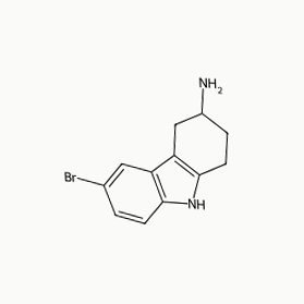 NC1CCc2[nH]c3ccc(Br)cc3c2C1